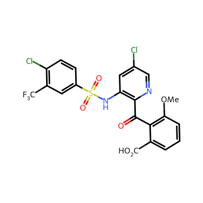 COc1cccc(C(=O)O)c1C(=O)c1ncc(Cl)cc1NS(=O)(=O)c1ccc(Cl)c(C(F)(F)F)c1